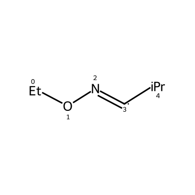 CCO/N=[C]/C(C)C